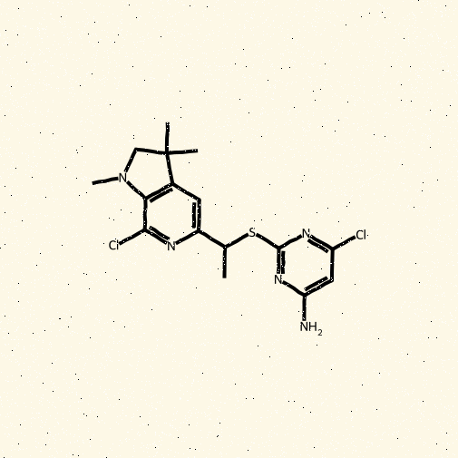 CC(Sc1nc(N)cc(Cl)n1)c1cc2c(c(Cl)n1)N(C)CC2(C)C